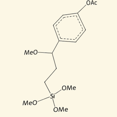 COC(CC[Si](OC)(OC)OC)c1ccc(OC(C)=O)cc1